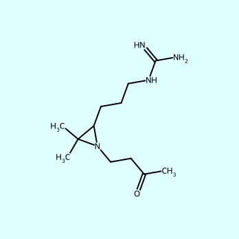 CC(=O)CCN1C(CCCNC(=N)N)C1(C)C